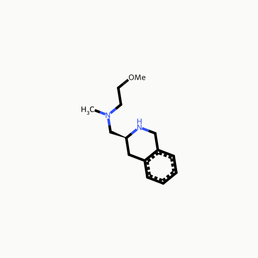 COCCN(C)C[C@@H]1Cc2ccccc2CN1